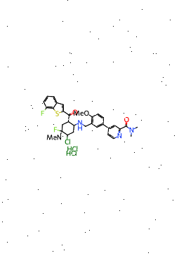 CNC1(F)CC(C(=O)c2cc3cccc(F)c3s2)C(NCc2cc(-c3ccnc(C(=O)N(C)C)c3)ccc2OC)CC1Cl.Cl.Cl